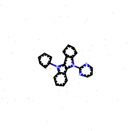 c1ccc(-n2c3ccccc3c3c2c2ccccc2n3-c2ncccn2)cc1